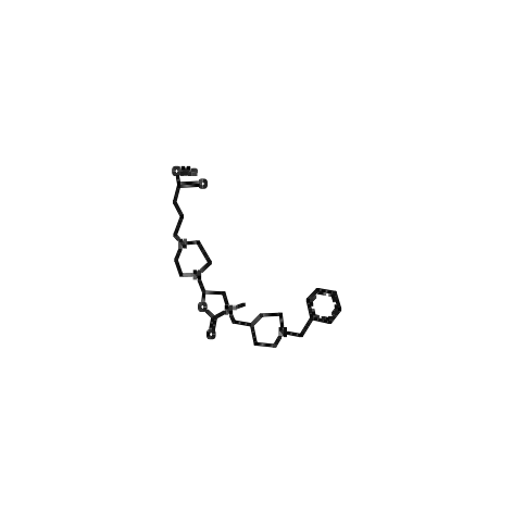 COC(=O)CCCN1CCN(C2C[N+](C)(CC3CCN(Cc4ccccc4)CC3)C(=O)O2)CC1